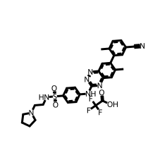 Cc1ccc(C#N)cc1-c1cc2nnc(Nc3ccc(S(=O)(=O)NCCN4CCCC4)cc3)nc2cc1C.O=C(O)C(F)(F)F